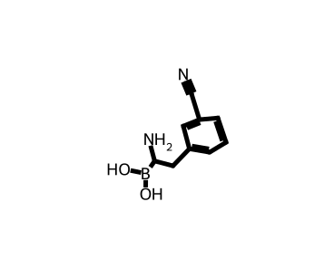 N#Cc1cccc(CC(N)B(O)O)c1